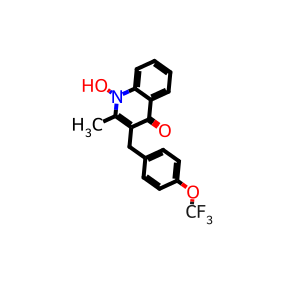 Cc1c(Cc2ccc(OC(F)(F)F)cc2)c(=O)c2ccccc2n1O